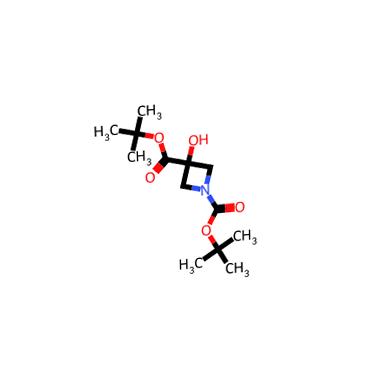 CC(C)(C)OC(=O)N1CC(O)(C(=O)OC(C)(C)C)C1